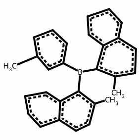 Cc1cccc(B(c2c(C)ccc3ccccc23)c2c(C)ccc3ccccc23)c1